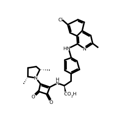 Cc1cc2ccc(Cl)cc2c(Nc2ccc(C[C@H](Nc3c(N4[C@H](C)CC[C@@H]4C)c(=O)c3=O)C(=O)O)cc2)n1